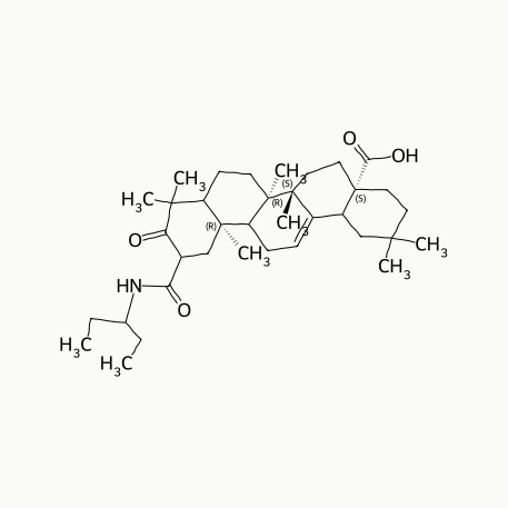 CCC(CC)NC(=O)C1C[C@@]2(C)C(CC[C@]3(C)C2CC=C2C4CC(C)(C)CC[C@]4(C(=O)O)CC[C@]23C)C(C)(C)C1=O